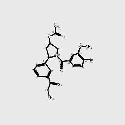 COC(=O)c1cccc([C@H]2CC(OC(C)=O)CN2C(=O)c2ccc(Br)c(OC)c2)c1